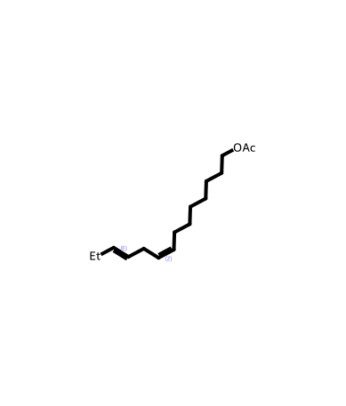 CC/C=C/C/C=C\CCCCCCCOC(C)=O